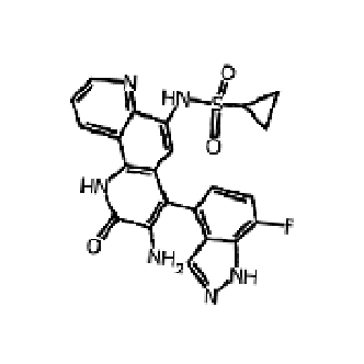 Nc1c(-c2ccc(F)c3[nH]ncc23)c2cc(NS(=O)(=O)C3CC3)c3ncccc3c2[nH]c1=O